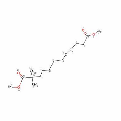 CC(C)OC(=O)CCCCCCCCCC(C)(C)C(=O)OC(C)C